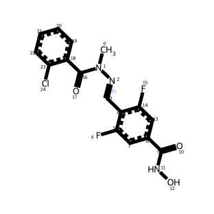 CN(/N=C/c1c(F)cc(C(=O)NO)cc1F)C(=O)c1ccccc1Cl